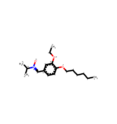 CCCCCCOc1ccc(C=[N+]([O-])C(C)C)cc1OCC